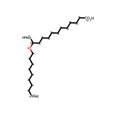 CCCCCCCCCCCCCCCCCCOC(CCCCCC)CCCCCCCCCCC(=O)O